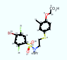 CCCN(CCSc1ccc(OCC(=O)O)c(C)c1)S(=O)(=O)c1cc(F)c(Br)cc1F